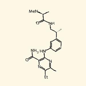 CCc1nc(C(N)=O)c(Nc2cccc([C@@H](C)CNC(=O)[C@H](C)NC)c2)nc1C